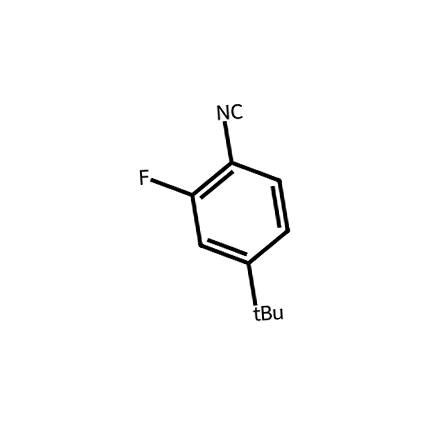 [C-]#[N+]c1ccc(C(C)(C)C)cc1F